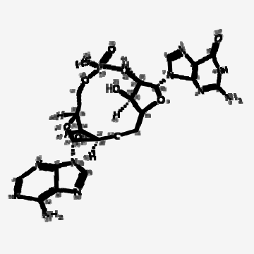 Nc1nc2c(ncn2[C@@H]2OC3CC[C@@H]4[C@H](O)[C@@H](COP(=O)(S)O[C@@H]2[C@@H]3O)O[C@H]4n2cnc3c(N)ncnc32)c(=O)[nH]1